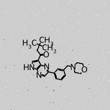 CC(C)(C)CC(=O)c1c[nH]c2ncc(-c3cccc(CN4CCOCC4)c3)nc12